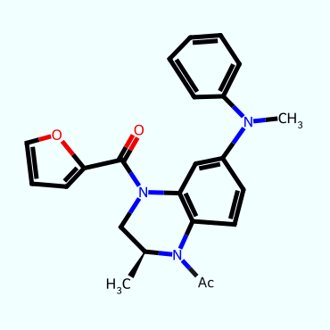 CC(=O)N1c2ccc(N(C)c3ccccc3)cc2N(C(=O)c2ccco2)C[C@@H]1C